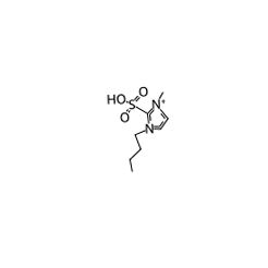 CCCCn1cc[n+](C)c1S(=O)(=O)O